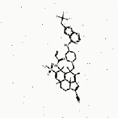 C=CC(=O)NC1(C)C(S(N)(=O)=O)=CC2(C)CCN3C(C#N)=CC4=C(C)C(C)(CN5CCC(Nc6ncnc7sc(CC(F)(F)F)cc67)CC5)C1=C2C43C